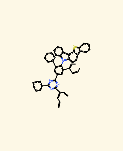 C=C/C=C(\C=C)c1nc(-c2ccccc2)nc(-c2cc(C(/C=C\C)=C/C)c(-n3c4ccccc4c4c5sc6ccccc6c5ccc43)c(-c3ccccc3)c2)n1